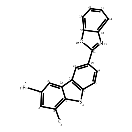 CCCc1cc(Cl)c2sc3ccc(-c4nc5ccccc5o4)cc3c2c1